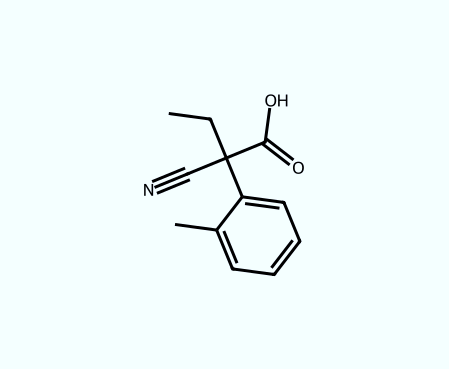 CCC(C#N)(C(=O)O)c1ccccc1C